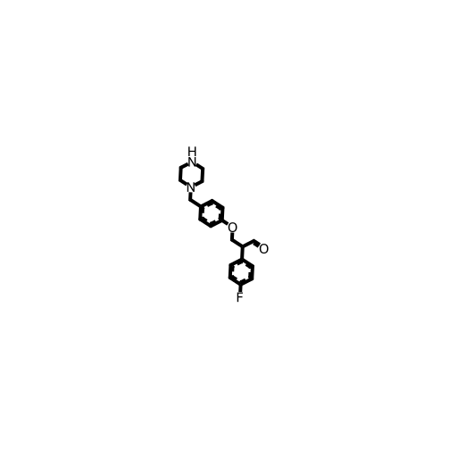 O=CC(COc1ccc(CN2CCNCC2)cc1)c1ccc(F)cc1